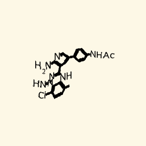 CC(=O)Nc1ccc(-c2cnc(N)c(/C(=N/N=N)Nc3cc(Cl)ccc3C)c2)cc1